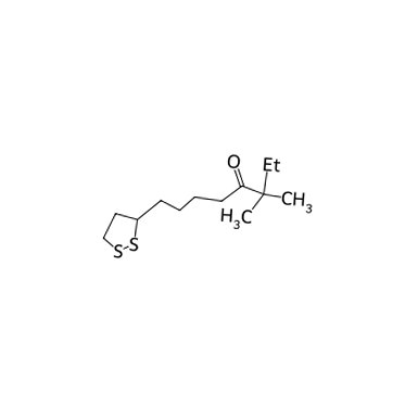 CCC(C)(C)C(=O)CCCCC1CCSS1